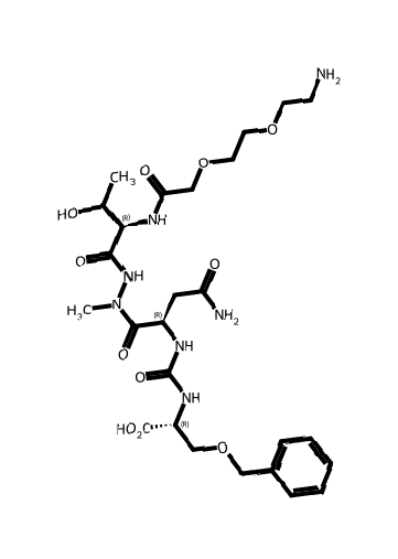 CC(O)[C@@H](NC(=O)COCCOCCN)C(=O)NN(C)C(=O)[C@@H](CC(N)=O)NC(=O)N[C@H](COCc1ccccc1)C(=O)O